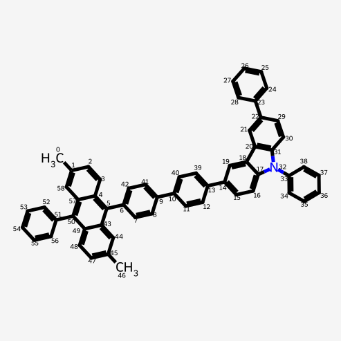 Cc1ccc2c(-c3ccc(-c4ccc(-c5ccc6c(c5)c5cc(-c7ccccc7)ccc5n6-c5ccccc5)cc4)cc3)c3cc(C)ccc3c(-c3ccccc3)c2c1